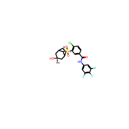 CC(=O)[C@@]1(O)CC2C[C@H](C)C(C1)[C@@H]2S(=O)(=O)c1cc(C(=O)Nc2cc(F)c(F)c(F)c2)ccc1Cl